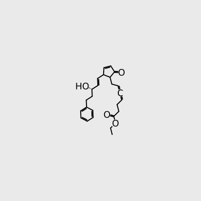 CCOC(=O)CCC=C=CCC1C(=O)C=CC1/C=C/[C@@H](O)CCc1ccccc1